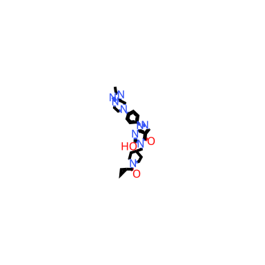 Cc1nc2n(n1)CCN(c1ccc(-n3ncc4c(=O)n(CC5(O)CCN(C(=O)C6CC6)CC5)cnc43)cc1)C2